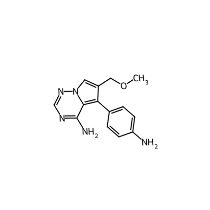 COCc1cn2ncnc(N)c2c1-c1ccc(N)cc1